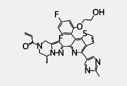 C=CC(=O)N1Cc2cc(-c3nc(-c4cnc(C)nc4)c4ccsc4c3-c3c(F)cc(F)cc3OCCO)nn2[C@@H](C)C1